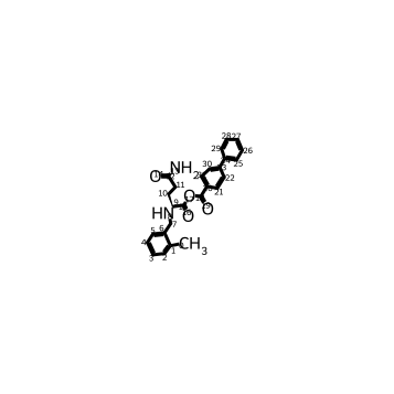 Cc1ccccc1CN[C@@H](CCC(N)=O)C(=O)OC(=O)c1ccc(-c2ccccc2)cc1